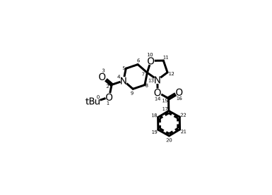 CC(C)(C)OC(=O)N1CCC2(CC1)OCCN2OC(=O)c1ccccc1